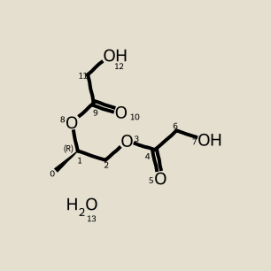 C[C@H](COC(=O)CO)OC(=O)CO.O